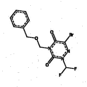 O=c1c(Br)nn(C(F)F)c(=O)n1COCc1ccccc1